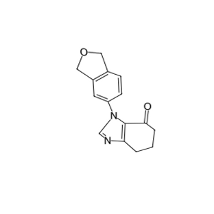 O=C1CCCc2ncn(-c3ccc4c(c3)COC4)c21